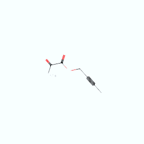 CC#CCOC(=O)C(=O)OC